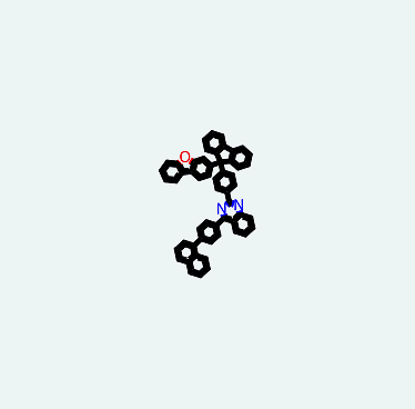 c1ccc2c(c1)-c1ccccc1C2(c1ccc(-c2nc(-c3ccc(-c4cccc5ccccc45)cc3)c3ccccc3n2)cc1)c1ccc2c(c1)oc1ccccc12